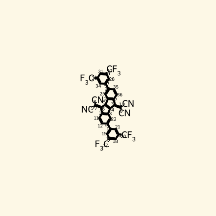 N#CC(C#N)=C1C2=C(C(=C(C#N)C#N)c3ccc(-c4cc(C(F)(F)F)cc(C(F)(F)F)c4)cc32)c2cc(-c3cc(C(F)(F)F)cc(C(F)(F)F)c3)ccc21